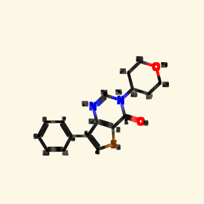 O=c1c2scc(-c3ccccc3)c2ncn1C1CCOCC1